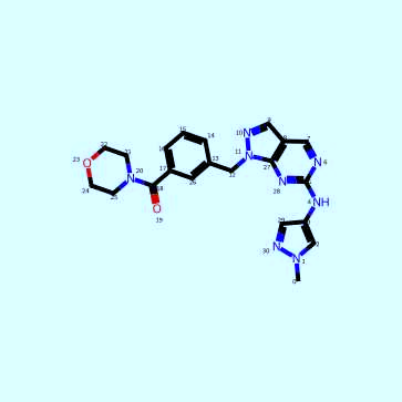 Cn1cc(Nc2ncc3cnn(Cc4cccc(C(=O)N5CCOCC5)c4)c3n2)cn1